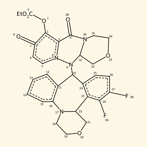 CCOC(=O)Oc1c2n(ccc1=O)N(C1c3ccccc3N3CCOCC3c3c1ccc(F)c3F)C1COCCN1C2=O